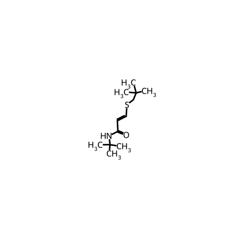 CC(C)(C)CSC=CC(=O)NC(C)(C)C